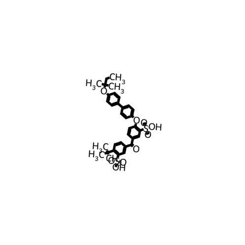 CCC(C)(C)Oc1ccc(-c2ccc(Oc3ccc(C(=O)c4ccc(C(C)(C)C)c(S(=O)(=O)O)c4)cc3S(=O)(=O)O)cc2)cc1